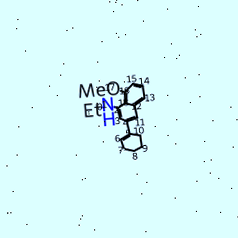 CCNc1cc(C2=CCCCC2)cc2cccc(OC)c12